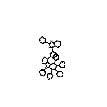 c1ccc(-c2nc(-c3cccc(-c4cccc5c4c4c(-c6ccccc6)c(-c6ccccc6)c(-c6ccccc6)c(-c6ccccc6)c4n5-c4ccccc4)c3)c3ccccc3n2)cc1